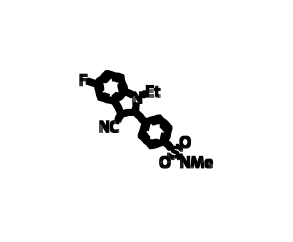 CCN1c2ccc(F)cc2C(C#N)C1c1ccc(S(=O)(=O)NC)cc1